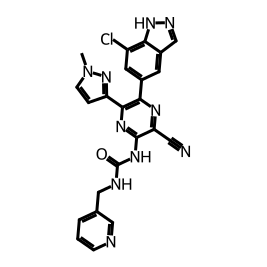 Cn1ccc(-c2nc(NC(=O)NCc3cccnc3)c(C#N)nc2-c2cc(Cl)c3[nH]ncc3c2)n1